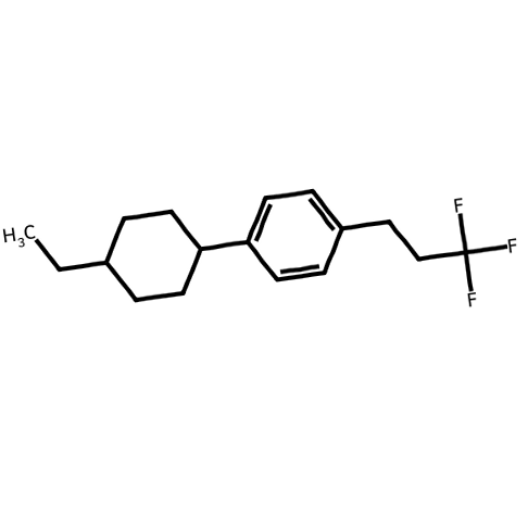 CCC1CCC(c2ccc(CCC(F)(F)F)cc2)CC1